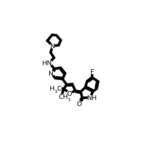 CC1(C)OC(=C2C(=O)Nc3ccc(F)cc32)C=C1c1ccc(NCCN2CCCCC2)nc1